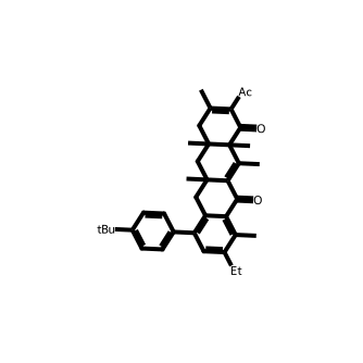 CCc1cc(-c2ccc(C(C)(C)C)cc2)c2c(c1C)C(=O)C1=C(C)C3(C)C(=O)C(C(C)=O)=C(C)CC3(C)CC1(C)C2